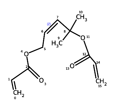 C=CC(=O)OC/C=C\C(C)(C)OC(=O)C=C